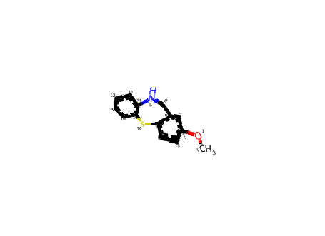 COc1ccc2c(c1)CNc1ccccc1S2